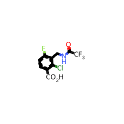 O=C(O)c1ccc(F)c(CNC(=O)C(F)(F)F)c1Cl